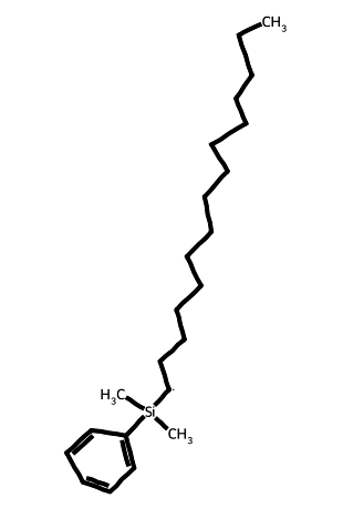 CCCCCCCCCCCCCC[CH][Si](C)(C)c1ccccc1